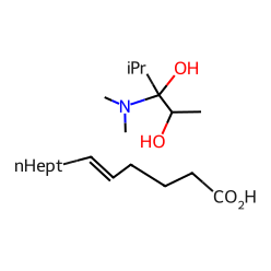 CC(C)C(O)(C(C)O)N(C)C.CCCCCCCC=CCCCC(=O)O